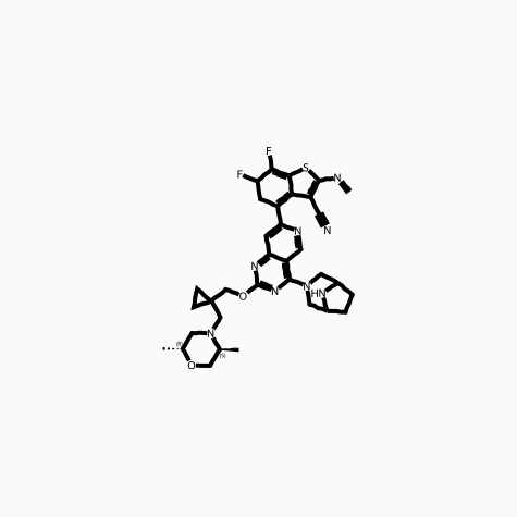 C=Nc1sc2c(c1C#N)=C(c1cc3nc(OCC4(CN5C[C@@H](C)OC[C@@H]5C)CC4)nc(N4CC5CCC(C4)N5)c3cn1)CC(F)C=2F